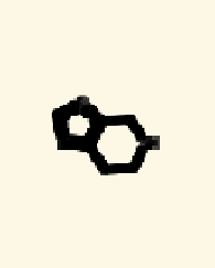 [C]1NCCc2ncoc21